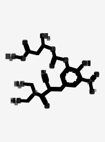 CCN(CC)C(=O)/C(C#N)=C/c1cc(OC(=O)OC(C)CC(=O)OC)c(O)c([N+](=O)[O-])c1